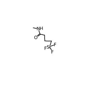 CNC(=O)CCC[Si](F)(F)F